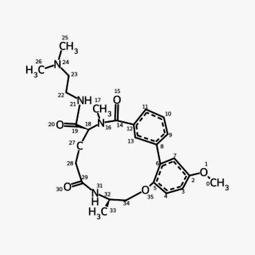 COc1ccc2c(c1)-c1cccc(c1)C(=O)N(C)[C@H](C(=O)NCCN(C)C)CCC(=O)N[C@H](C)CO2